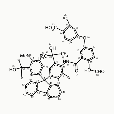 CNc1c(C)cc(C2(c3cc(C)c(NC(=O)c4cc(Oc5ccc(C(=O)O)c(C(C)=O)c5)ccc4OC=O)c(C(O)(C(F)(F)F)C(F)(F)F)c3)c3ccccc3-c3ccccc32)cc1C(C)(C)O